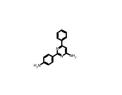 Nc1ccc(-c2nc(N)cc(-c3ccccc3)n2)cc1